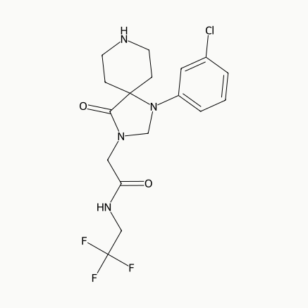 O=C(CN1CN(c2cccc(Cl)c2)C2(CCNCC2)C1=O)NCC(F)(F)F